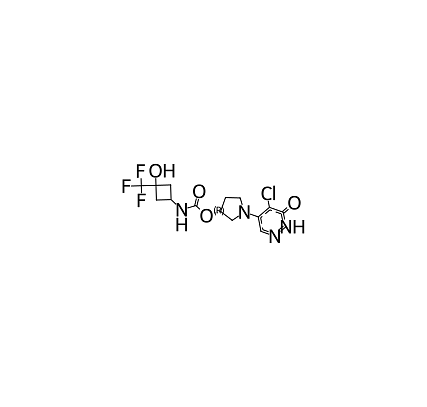 O=C(NC1CC(O)(C(F)(F)F)C1)O[C@@H]1CCN(c2cn[nH]c(=O)c2Cl)C1